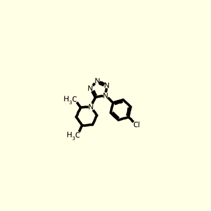 CC1CCN(c2nnnn2-c2ccc(Cl)cc2)C(C)C1